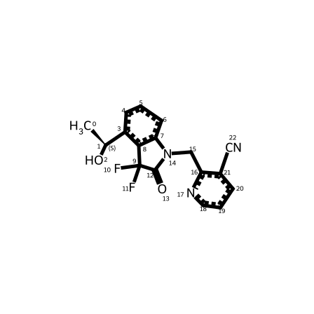 C[C@H](O)c1cccc2c1C(F)(F)C(=O)N2Cc1ncccc1C#N